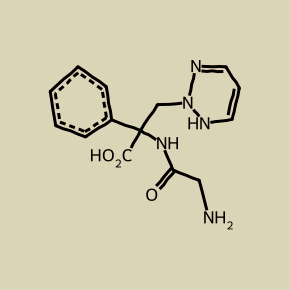 NCC(=O)NC(CN1N=CC=CN1)(C(=O)O)c1ccccc1